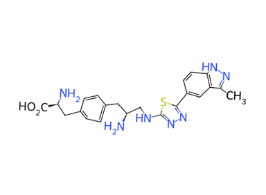 Cc1n[nH]c2ccc(-c3nnc(NC[C@@H](N)Cc4ccc(C[C@H](N)C(=O)O)cc4)s3)cc12